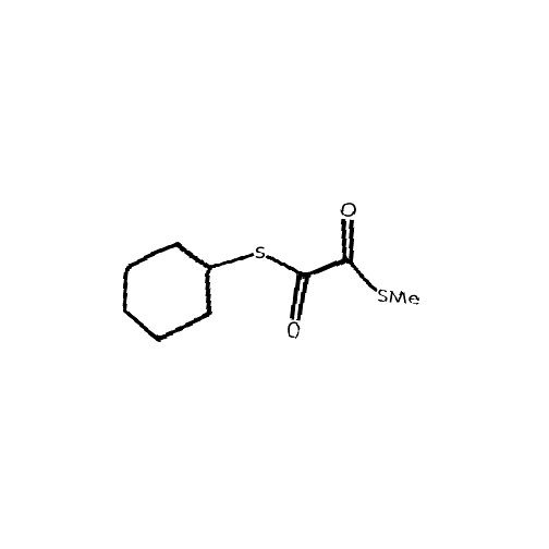 CSC(=O)C(=O)SC1CCCCC1